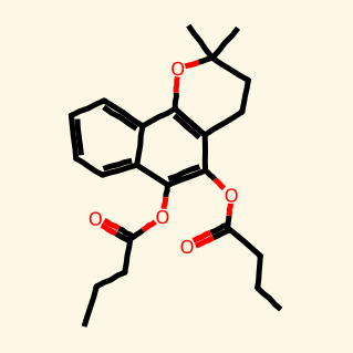 CCCC(=O)Oc1c2c(c3ccccc3c1OC(=O)CCC)OC(C)(C)CC2